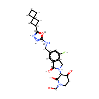 O=C1CCN(CO)C(=O)C1N1Cc2c(F)cc(CNc3nnc(C4CC5(CCC5)C4)o3)cc2C1=O